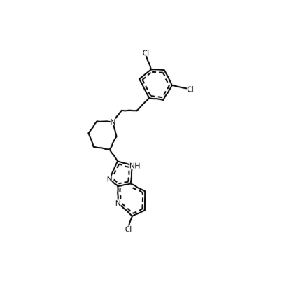 Clc1cc(Cl)cc(CCN2CCCC(c3nc4nc(Cl)ccc4[nH]3)C2)c1